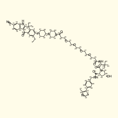 CCc1cc2c(cc1N1CCC(N3CCN(C(=O)CCOCCOCCOCCOCCC(=O)NC(C(=O)N4C[C@H](O)C[C@H]4C(=O)NCc4ccc(-c5scnc5C)cc4)C(C)(C)C)CC3)CC1)C(C)(C)c1[nH]c3cc(C#N)ccc3c1C2=O